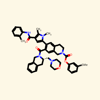 CSc1cccc(OC(=O)N2CCc3cc(-c4cc(C(=O)Nc5ccccc5C)c(C)n4C)c(C(=O)N4Cc5ccccc5C[C@H]4CN4CCOCC4)cc3C2)c1